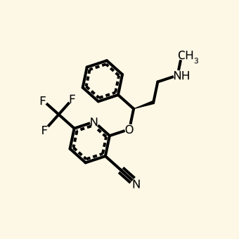 CNCC[C@@H](Oc1nc(C(F)(F)F)ccc1C#N)c1ccccc1